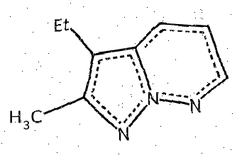 CCc1c(C)nn2ncccc12